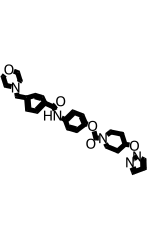 O=C(Nc1ccc(OC(=O)N2CCC(On3cccn3)CC2)cc1)c1ccc(CN2CCOCC2)cc1